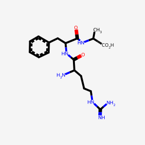 CC(NC(=O)C(Cc1ccccc1)NC(=O)C(N)CCCNC(=N)N)C(=O)O